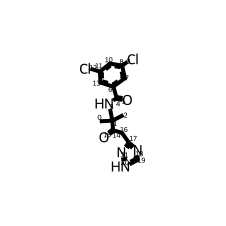 CC(C)(NC(=O)c1cc(Cl)cc(Cl)c1)C(=O)Cc1nc[nH]n1